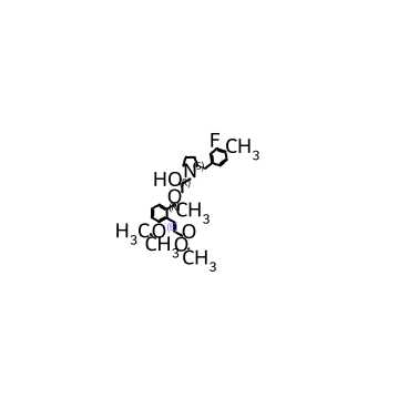 CCOC(=O)/C=C/c1c(OC(C)C)cccc1[C@@H](C)OC[C@H](O)CN1CCC[C@H]1Cc1ccc(C)c(F)c1